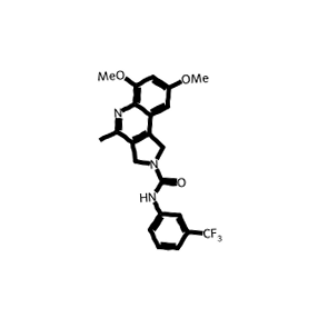 COc1cc(OC)c2nc(C)c3c(c2c1)CN(C(=O)Nc1cccc(C(F)(F)F)c1)C3